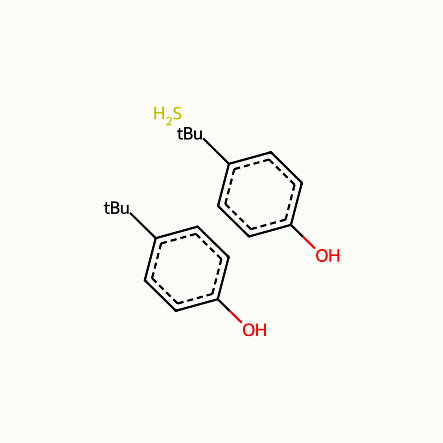 CC(C)(C)c1ccc(O)cc1.CC(C)(C)c1ccc(O)cc1.S